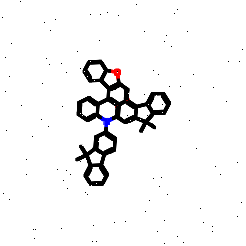 CC1(C)c2ccccc2-c2ccc(N(c3ccc4c(c3)C(C)(C)c3ccccc3-4)c3ccccc3-c3cccc4c3C3C=CC=CC3O4)cc21